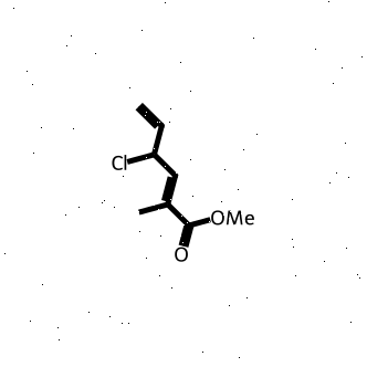 C=CC(Cl)C=C(C)C(=O)OC